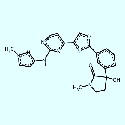 CN1CCC(O)(c2cccc(-c3nc(-c4ccnc(Nc5ccn(C)n5)n4)co3)c2)C1=O